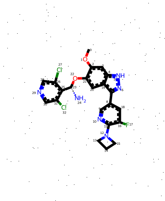 COc1cc2[nH]nc(-c3cnc(N4CCC4)c(F)c3)c2cc1O[C@H](N)c1c(Cl)cncc1Cl